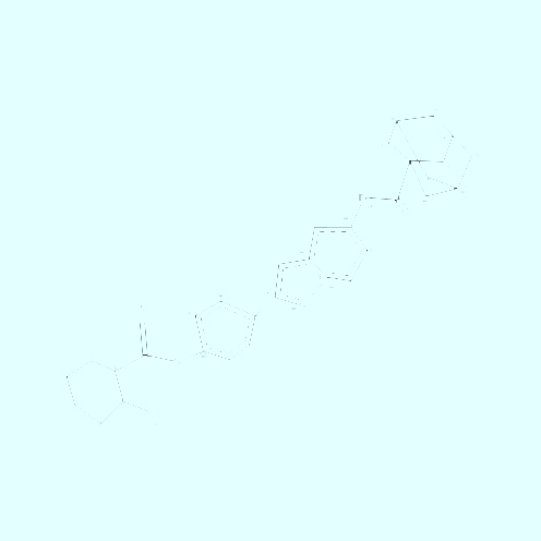 CC1CCCCC1C(=O)Nc1ccc(-c2cc3cc(NC(=O)C45CC6CC(CC(C6)C4)C5)ccc3[nH]2)cc1